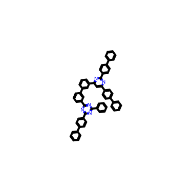 c1ccc(-c2ccc(-c3cc(-c4cccc(-c5cccc(-c6nc(-c7ccccc7)nc(-c7ccc(-c8ccccc8)cc7)n6)c5)c4)nc(-c4ccc(-c5ccccc5)cc4)n3)cc2)cc1